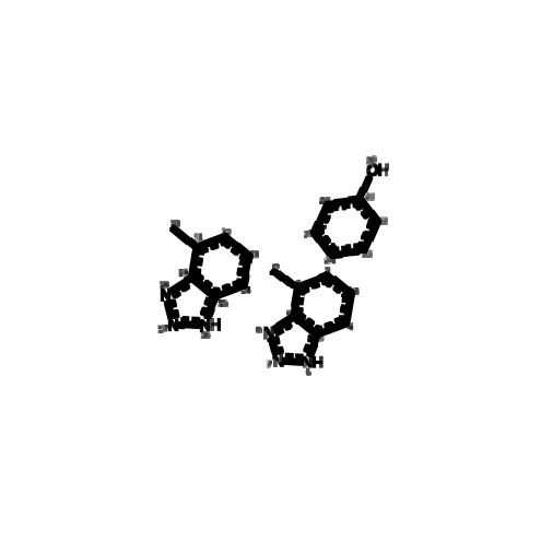 Cc1cccc2[nH]nnc12.Cc1cccc2[nH]nnc12.Oc1ccccc1